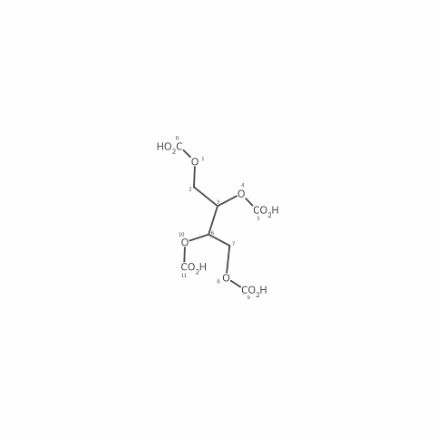 O=C(O)OCC(OC(=O)O)C(COC(=O)O)OC(=O)O